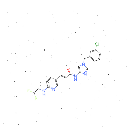 O=C(/C=C/c1ccc(NCC(F)F)nc1)Nc1cn(Cc2cccc(Cl)c2)cn1